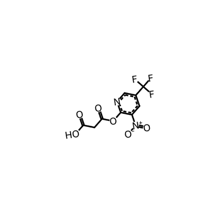 O=C(O)CC(=O)Oc1ncc(C(F)(F)F)cc1[N+](=O)[O-]